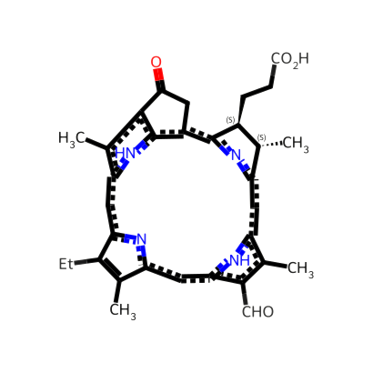 CCC1=C(C)c2cc3[nH]c(cc4nc(c5c6[nH]c(cc1n2)c(C)c6C(=O)C5)[C@@H](CCC(=O)O)[C@@H]4C)c(C)c3C=O